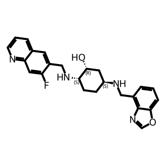 O[C@@H]1C[C@@H](NCc2cccc3ocnc23)CC[C@@H]1NCc1cc2cccnc2cc1F